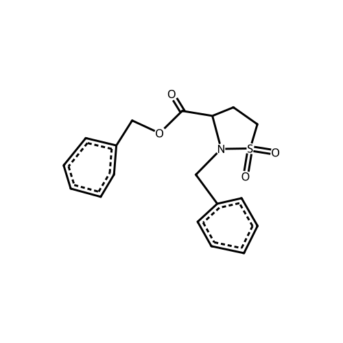 O=C(OCc1ccccc1)C1CCS(=O)(=O)N1Cc1ccccc1